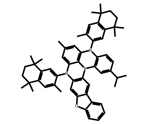 Cc1cc2c3c(c1)N(c1cc4c(cc1C)C(C)(C)CCC4(C)C)c1cc4oc5ccccc5c4cc1B3c1cc(C(C)C)ccc1N2c1cc2c(cc1C)C(C)(C)CCC2(C)C